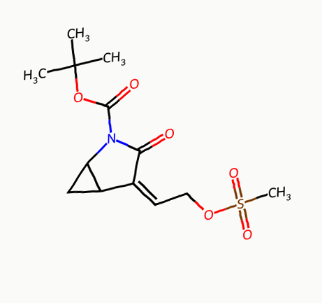 CC(C)(C)OC(=O)N1C(=O)/C(=C\COS(C)(=O)=O)C2CC21